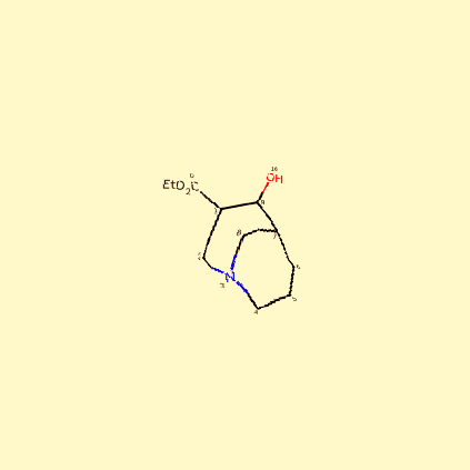 CCOC(=O)C1CN2CCCC(C2)C1O